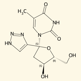 Cc1cn([C@@]2(c3c[nH]nn3)C[C@H](O)[C@@H](CO)O2)c(=O)[nH]c1=O